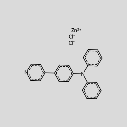 [Cl-].[Cl-].[Zn+2].c1ccc(N(c2ccccc2)c2ccc(-c3ccncc3)cc2)cc1